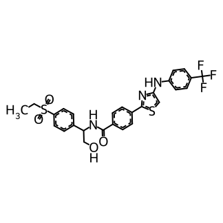 CCS(=O)(=O)c1ccc(C(CO)NC(=O)c2ccc(-c3nc(Nc4ccc(C(F)(F)F)cc4)cs3)cc2)cc1